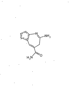 NC(=O)C1=Cc2sccc2N=C(N)C1